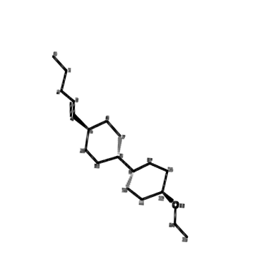 CCC/C=C/[C@H]1CC[C@H]([C@H]2CC[C@H](OCC)CC2)CC1